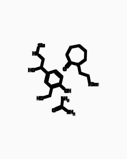 CC(C)(C)NCC(O)c1ccc(O)c(CO)c1.CCCCCCCCCCCCN1CCCCCC1=O.NC(N)=O